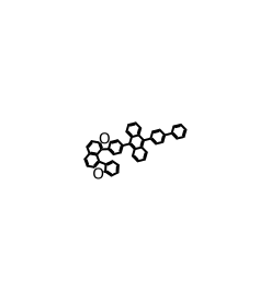 c1ccc(-c2ccc(-c3c4ccccc4c(-c4ccc5c(c4)oc4ccc6ccc7oc8ccccc8c7c6c45)c4ccccc34)cc2)cc1